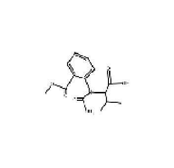 COC(=O)c1ccccc1N(C(N)=O)C(C(=O)O)C(C)C